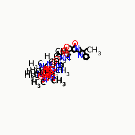 CCc1c2c(nc3ccccc13)-c1cc3c(c(=O)n1C2)COC(=O)[C@@]3(CC)OC(=O)[C@@H](NC(=O)[C@@H]1CCCN1C(=O)[C@H](CC(=O)OC(C)(C)C)NC(=O)CN(C)C(=O)CN(C)C(=O)CN(C)C(=O)CN(C)C(=O)CN(C)C(=O)CN(C)C(=O)CN(C)C(=O)CN(C)C(=O)OC(C)(C)C)C(C)C